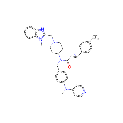 CN(c1ccncc1)c1ccc(CN(C(=O)/C=C/c2ccc(C(F)(F)F)cc2)C2CCN(Cc3nc4ccccc4n3C)CC2)cc1